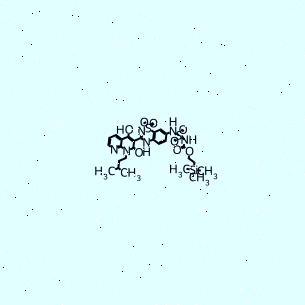 CC(C)CCn1c(=O)c(C2=NS(=O)(=O)c3cc(NS(=O)(=O)NC(=O)OCC[Si](C)(C)C)ccc3N2)c(O)c2cccnc21